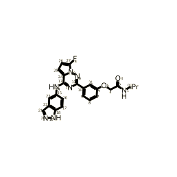 CC(C)NC(=O)COc1cccc(-c2nc(Nc3ccc4[nH]ncc4c3)c3ccc(F)n3n2)c1